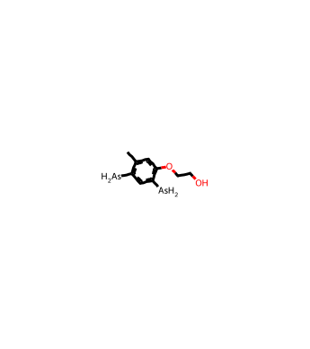 Cc1cc(OCCO)c([AsH2])cc1[AsH2]